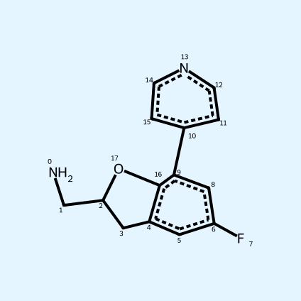 NCC1Cc2cc(F)cc(-c3ccncc3)c2O1